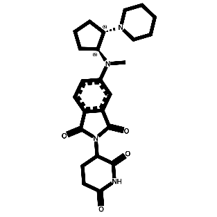 CN(c1ccc2c(c1)C(=O)N(C1CCC(=O)NC1=O)C2=O)[C@H]1CCC[C@@H]1N1CCCCC1